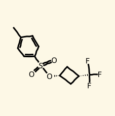 Cc1ccc(S(=O)(=O)O[C@H]2C[C@@H](C(F)(F)F)C2)cc1